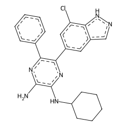 Nc1nc(-c2ccccc2)c(-c2cc(Cl)c3[nH]ncc3c2)nc1NC1CCCCC1